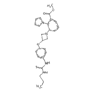 CCCNC(=S)Nc1ccc(OC2CN(c3cccc(C(=O)OC)c3-n3cccc3)C2)cc1